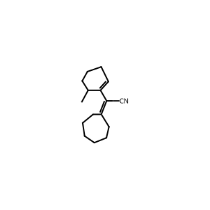 CC1CCCC=C1C(C#N)=C1CCCCCC1